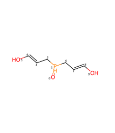 O=[PH](CC=CO)CC=CO